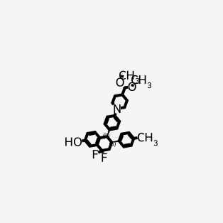 COC(OC)C1CCN(c2ccc([C@@H]3c4ccc(O)cc4C(F)(F)C[C@@H]3c3ccc(C)cc3)cc2)CC1